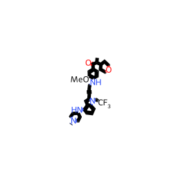 COc1cc(C(=O)C(C)C2CCOCC2)ccc1NCC#Cc1cc2c(NC3CCN(C)CC3)cccc2n1CC(F)(F)F